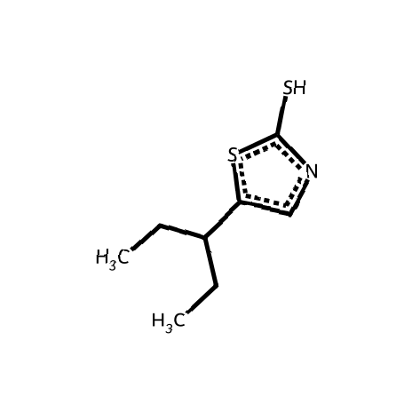 CCC(CC)c1cnc(S)s1